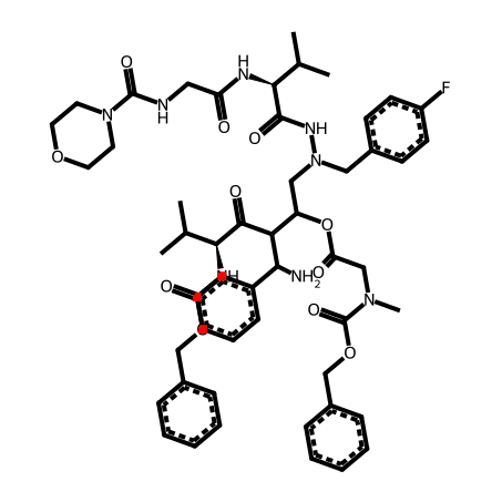 CC(C)[C@H](NC(=O)CNC(=O)N1CCOCC1)C(=O)NN(Cc1ccc(F)cc1)CC(OC(=O)CN(C)C(=O)OCc1ccccc1)C(C(=O)[C@@H](NC(=O)OCc1ccccc1)C(C)C)C(N)c1ccccc1